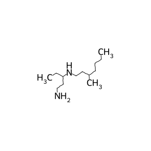 CCCCC(C)CCNC(CC)CCN